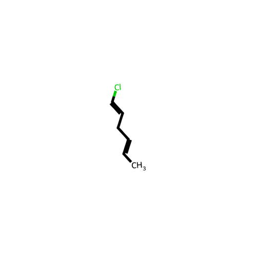 CC=CCC=CCl